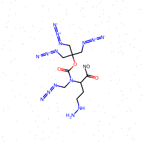 [N-]=[N+]=NCN(C(=O)OC(CN=[N+]=[N-])(CN=[N+]=[N-])CN=[N+]=[N-])C(CCNN)C(=O)N=O